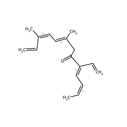 C=C/C(C)=C\C=C(/C)CC(=O)/C(C=C)=C/C=C\C